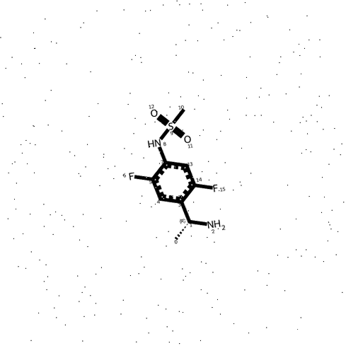 C[C@@H](N)c1cc(F)c(NS(C)(=O)=O)cc1F